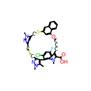 Cc1c2c(nn1C)CSCc1cc(n(C)n1)CSc1cc(c3ccccc3c1)OCCCc1c(C(=O)O)n(C)c3c-2c(Cl)cc(F)c13